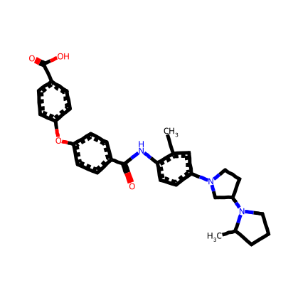 Cc1cc(N2CCC(N3CCCC3C)C2)ccc1NC(=O)c1ccc(Oc2ccc(C(=O)O)cc2)cc1